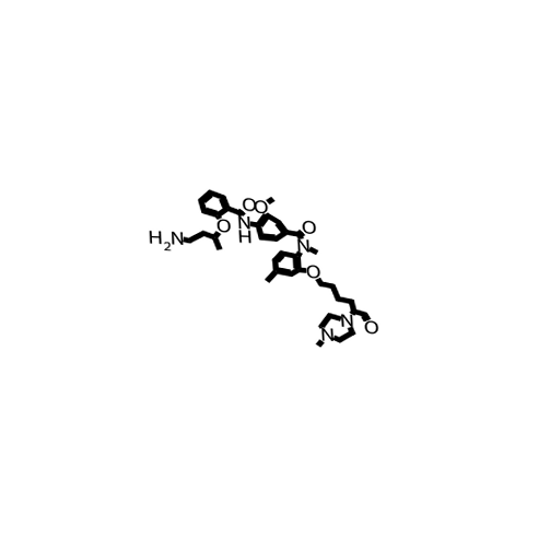 COc1cc(C(=O)N(C)c2ccc(C)cc2OCCCCC(C=O)N2CCN(C)CC2)ccc1NC(=O)c1ccccc1OC(C)CCN